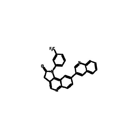 O=C1Cc2cnc3ccc(-c4cnc5ccccc5c4)cc3c2N1c1cccc(C(F)(F)F)c1